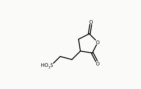 O=C1CC(CCS(=O)(=O)O)C(=O)O1